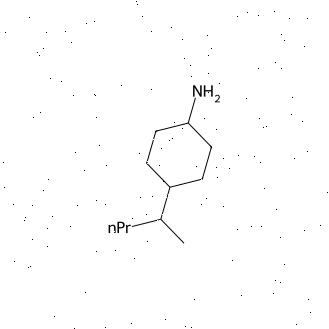 CCCC(C)C1CCC(N)CC1